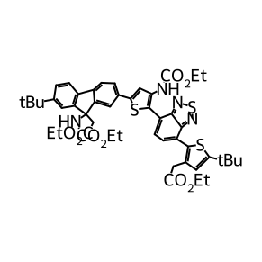 CCOC(=O)Cc1cc(C(C)(C)C)sc1-c1ccc(-c2sc(-c3ccc4c(c3)C(CC(=O)OCC)(NC(=O)OCC)c3cc(C(C)(C)C)ccc3-4)cc2NC(=O)OCC)c2nsnc12